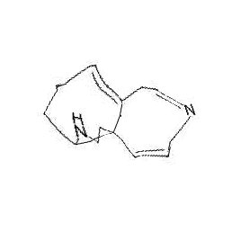 C1=CC23CCNC2CCC=C3C=N1